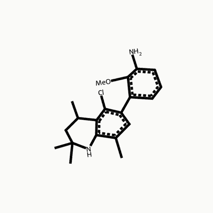 COc1c(N)cccc1-c1cc(C)c2c(c1Cl)C(C)CC(C)(C)N2